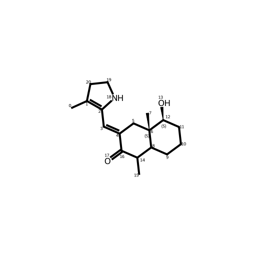 CC1=C(C=C2C[C@@]3(C)C(CCC[C@@H]3O)C(C)C2=O)NCC1